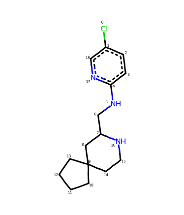 Clc1ccc(NCC2CC3(CCCC3)CCN2)nc1